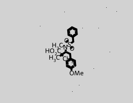 COc1ccc(CC(N(C)S(=O)(=O)Cc2ccccc2)C(C)(C)C(=O)O)cc1